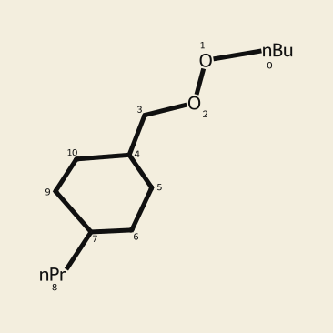 [CH2+][CH-]CCOOCC1CCC(CCC)CC1